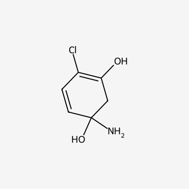 NC1(O)C=CC(Cl)=C(O)C1